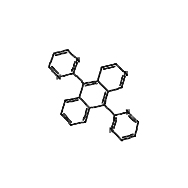 c1cnc(-c2c3ccccc3c(-c3ncccn3)c3cnccc23)nc1